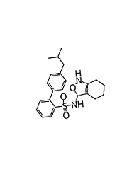 CC(C)Cc1ccc(-c2ccccc2S(=O)(=O)NC2ONC3=C2CCCC3)cc1